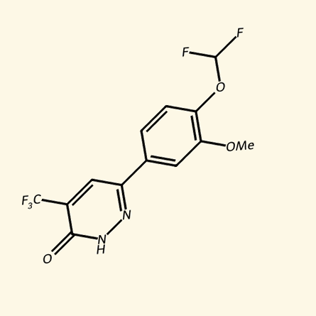 COc1cc(-c2cc(C(F)(F)F)c(=O)[nH]n2)ccc1OC(F)F